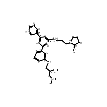 CNCC(O)COc1cccc(-c2nc(NCCCN3CCCC3=O)cc(-c3cncnc3)n2)c1